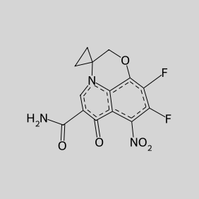 NC(=O)c1cn2c3c(c(F)c(F)c([N+](=O)[O-])c3c1=O)OCC21CC1